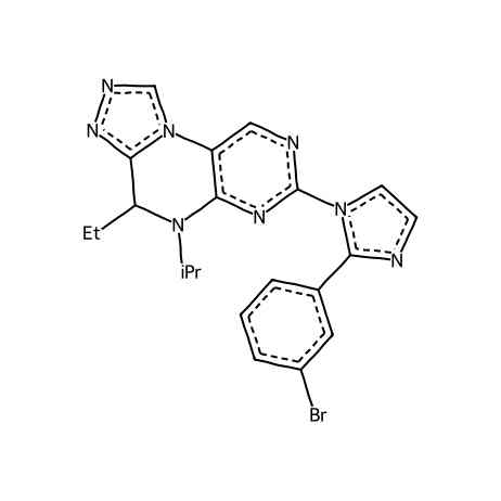 CCC1c2nncn2-c2cnc(-n3ccnc3-c3cccc(Br)c3)nc2N1C(C)C